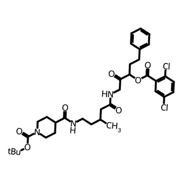 CC(CCNC(=O)C1CCN(C(=O)OC(C)(C)C)CC1)CC(=O)NCC(=O)C(CCc1ccccc1)OC(=O)c1cc(Cl)ccc1Cl